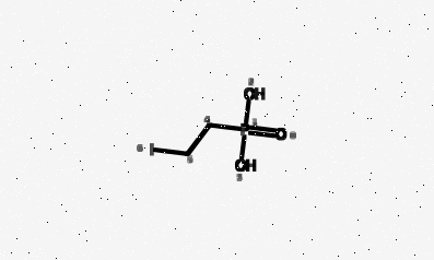 O=P(O)(O)CCI